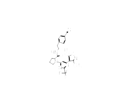 Cc1noc(C)c1-c1cc(N2CCCC2C(=O)NCCc2ccc(C#N)cc2)nc(C(F)(F)F)n1